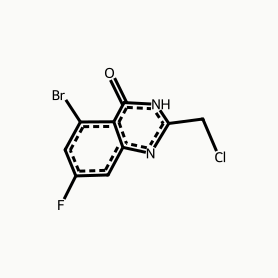 O=c1[nH]c(CCl)nc2cc(F)cc(Br)c12